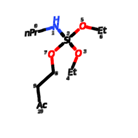 CCCN[Si](OCC)(OCC)OCCC(C)=O